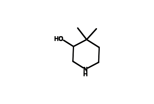 CC1(C)CCNCC1O